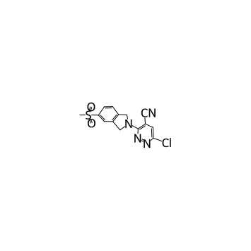 CS(=O)(=O)c1ccc2c(c1)CN(c1nnc(Cl)cc1C#N)C2